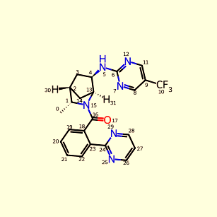 C[C@@H]1[C@@H]2C[C@@H](Nc3ncc(C(F)(F)F)cn3)[C@H](C2)N1C(=O)c1ccccc1-c1ncccn1